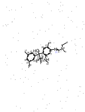 CCN(C)/C=N/c1cc(NC)c(C(O)(c2cc(C)cc(F)c2)C(F)(F)F)cc1C